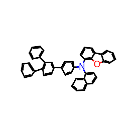 c1ccc(-c2ccc(-c3ccc(N(c4cccc5ccccc45)c4cccc5c4oc4ccccc45)cc3)cc2-c2ccccc2)cc1